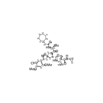 CCC[C@H](NC(=O)[C@@H]1C[C@]2(CC(c3cc(Cl)c(OC)cc3OC)=NO2)CN1C(=O)[C@@H](NC(=O)CC1CCCCCC1)C(C)(C)C)C(=O)C(=O)NC1CC1